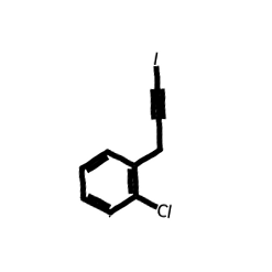 Clc1[c]cccc1CC#CI